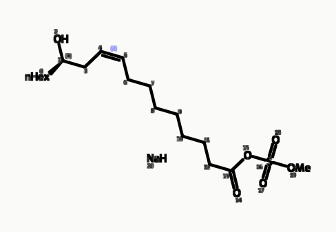 CCCCCC[C@@H](O)C/C=C\CCCCCCCC(=O)OS(=O)(=O)OC.[NaH]